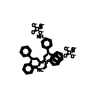 N.N#C[CH2][Pd+2]([CH2]P(c1ccccc1)c1ccccc1)([c]1ccccc1)[CH](C#N)CP(c1ccccc1)c1ccccc1.[O-][Cl+3]([O-])([O-])[O-].[O-][Cl+3]([O-])([O-])[O-]